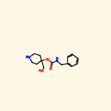 O=C(NCc1ccccc1)OC1(CO)CCNCC1